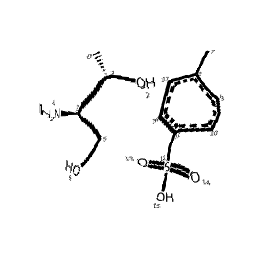 C[C@H](O)[C@H](N)CO.Cc1ccc(S(=O)(=O)O)cc1